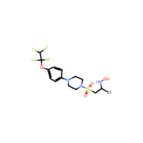 CCC(CS(=O)(=O)N1CCN(c2ccc(OC(F)(F)C(F)F)cc2)CC1)NO